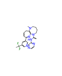 C=C(Nc1cnccn1)N1CCCCN(C)C2=C1N=C(c1cncc(C(C)(F)F)c1)C=CC2